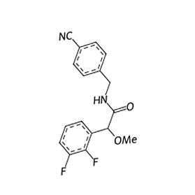 COC(C(=O)NCc1ccc(C#N)cc1)c1cccc(F)c1F